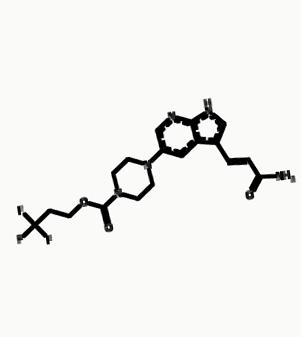 NC(=O)C=Cc1c[nH]c2ncc(N3CCN(C(=O)OCCC(F)(F)F)CC3)cc12